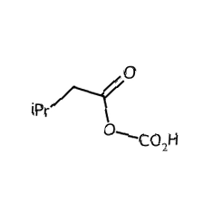 CC(C)CC(=O)OC(=O)O